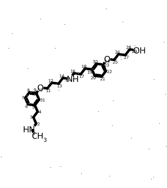 CNCCCc1cccc(OCCCCNCCCc2cccc(OCCCCO)c2)c1